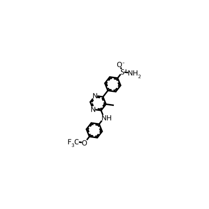 Cc1c(Nc2ccc(OC(F)(F)F)cc2)ncnc1-c1ccc([S+](N)[O-])cc1